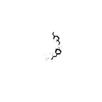 CCc1ccc(CCOc2ccc(CC(N)C(=O)O)cc2)nc1.Cl